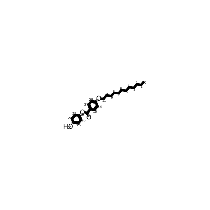 CCCCCCCCCCCCOc1ccc(C(=O)Oc2ccc(O)cc2)cc1